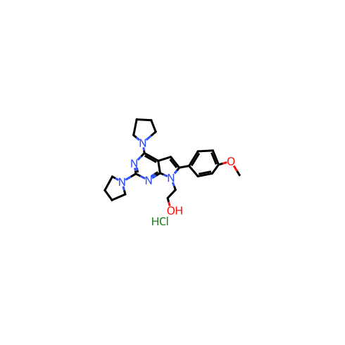 COc1ccc(-c2cc3c(N4CCCC4)nc(N4CCCC4)nc3n2CCO)cc1.Cl